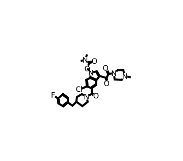 CN1CCN(C(=O)C(=O)c2cn(OC(=O)N(C)C)c3cc(Cl)c(C(=O)N4CCC(Cc5ccc(F)cc5)CC4)cc23)CC1